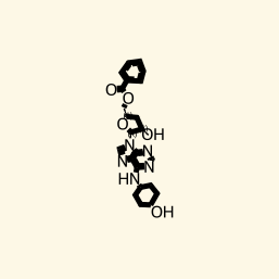 O=C(OC[C@@H]1C[C@H](O)[C@H](n2cnc3c(NC4CCC(O)CC4)ncnc32)O1)c1ccccc1